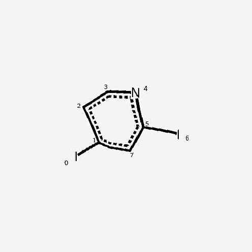 Ic1ccnc(I)c1